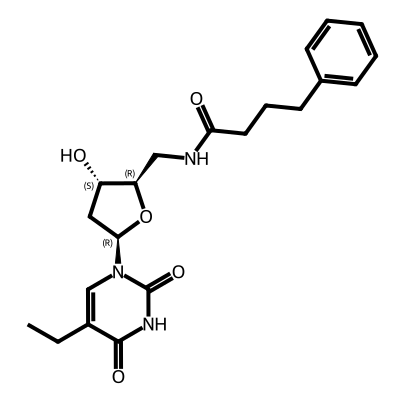 CCc1cn([C@H]2C[C@H](O)[C@@H](CNC(=O)CCCc3ccccc3)O2)c(=O)[nH]c1=O